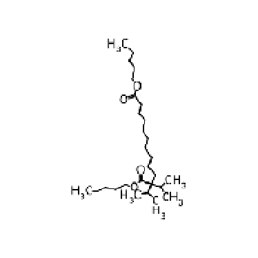 CCCCCOC(=O)CCCCCCCCCC(C(=O)OCCCCC)(C(C)C)C(C)C